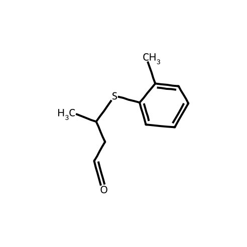 Cc1ccccc1SC(C)CC=O